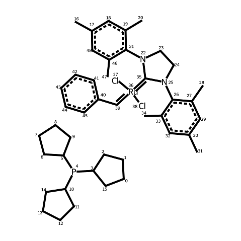 C1CCC(P(C2CCCC2)C2CCCC2)C1.Cc1cc(C)c(N2CCN(c3c(C)cc(C)cc3C)[C]2=[Ru]([Cl])([Cl])=[CH]c2ccccc2)c(C)c1